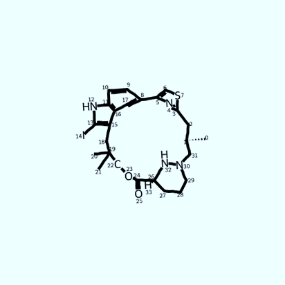 C[C@H]1Cc2nc(cs2)-c2ccc3[nH]c(I)c(c3c2)CC(C)(C)COC(=O)[C@@H]2CCCN(C1)N2